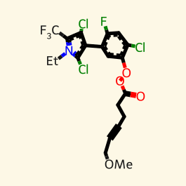 CCn1c(Cl)c(-c2cc(OOC(=O)CCC#CCOC)c(Cl)cc2F)c(Cl)c1C(F)(F)F